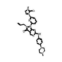 C=CCn1c(=O)c2cnc(Nc3ccc(N4CCN(C)CC4)cc3)nc2n1-c1cccc(-n2ccn(C)c2=O)n1